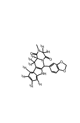 [2H]c1c([2H])c([2H])c2c3c([nH]c2c1[2H])C(c1ccc2c(c1)OCO2)N1C(=O)C([2H])([2H])N(C)C(=O)[C@@]1([2H])C3([2H])[2H]